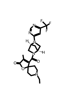 CCN1CCC2(CC1)OC(=O)C(C)=C2C(=O)N1C[C@@H]2C[C@H]1CN2c1cc(C(F)(F)F)ncn1